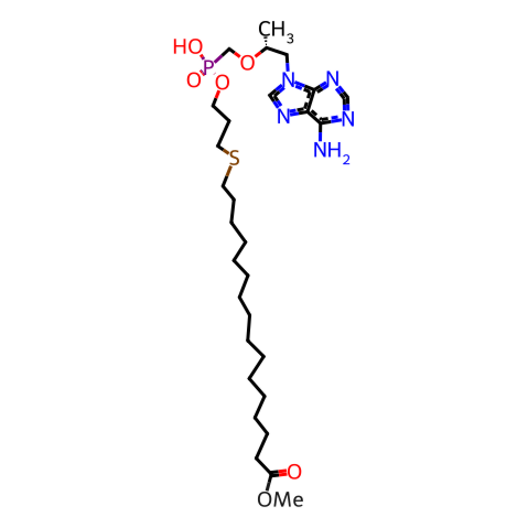 COC(=O)CCCCCCCCCCCCCCCSCCCOP(=O)(O)CO[C@H](C)Cn1cnc2c(N)ncnc21